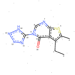 CCc1c(C)sc2ncn(-c3nnn[nH]3)c(=O)c12